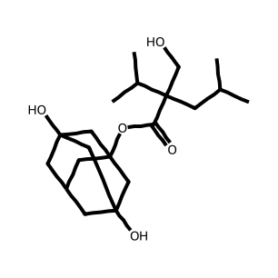 CC(C)CC(CO)(C(=O)OC12CC3CC(O)(CC(O)(C3)C1)C2)C(C)C